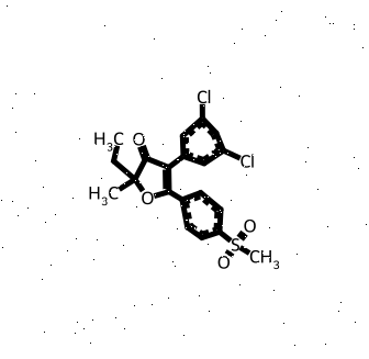 CCC1(C)OC(c2ccc(S(C)(=O)=O)cc2)=C(c2cc(Cl)cc(Cl)c2)C1=O